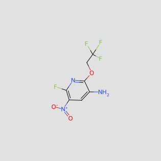 Nc1cc([N+](=O)[O-])c(F)nc1OCC(F)(F)F